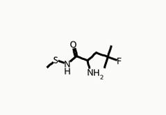 CSNC(=O)C(N)CC(C)(C)F